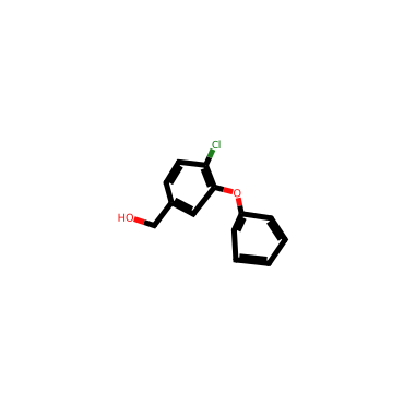 OCc1ccc(Cl)c(Oc2ccccc2)c1